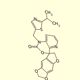 CC(C)c1ncc(CN2C(=O)OC3(COc4cc5c(cc43)OCO5)c3ncccc32)s1